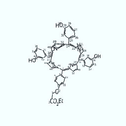 CCOC(=O)COc1ccc(-c2c3nc(c(-c4cccc(O)c4)c4ccc([nH]4)c(-c4cccc(O)c4)c4nc(c(-c5cccc(O)c5)c5ccc2s5)C=C4)C=C3)cc1